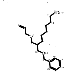 C=CCOCC(CCCCCCCCCCCCCCCC)COCc1ccccc1